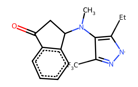 CCC1=C(N(C)C2CC(=O)c3ccccc32)C(C(F)(F)F)=N[N]1